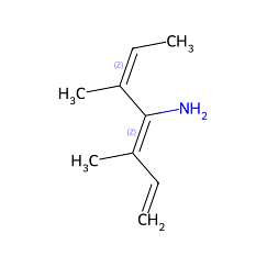 C=C/C(C)=C(N)/C(C)=C\C